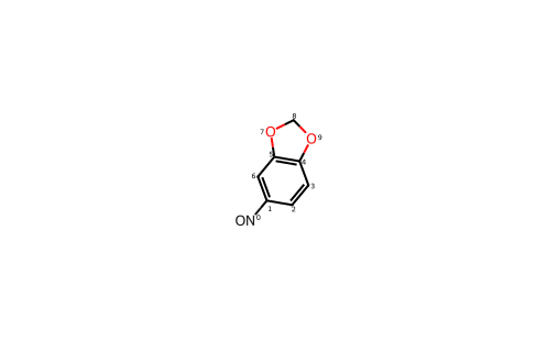 O=Nc1ccc2c(c1)OCO2